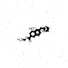 CCOC(=O)C1CCc2cc(Cc3ncc[nH]3)ccc2C1.Cl